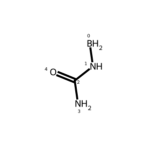 BNC(N)=O